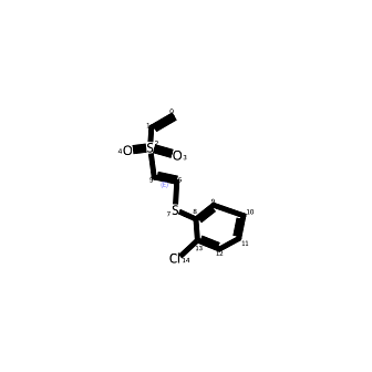 C=CS(=O)(=O)/C=C/Sc1ccccc1Cl